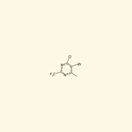 Cc1nc(C(F)(F)F)nc(Cl)c1C(C)C